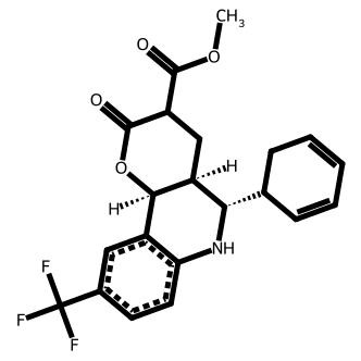 COC(=O)C1C[C@@H]2[C@H](OC1=O)c1cc(C(F)(F)F)ccc1N[C@H]2C1C=CC=CC1